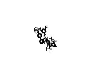 COCc1ccc(-c2cccnc2[C@H](CCc2cc(F)cc(F)c2)NC(=O)Cn2nc(C(F)F)c3c2C(F)(F)C2CC32)cc1